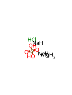 Cl.O=S(=O)(O)O.[MgH2].[NaH].[NaH]